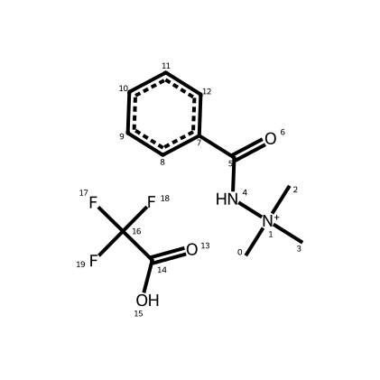 C[N+](C)(C)NC(=O)c1ccccc1.O=C(O)C(F)(F)F